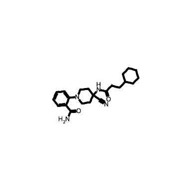 N#CC1(NC(=O)[CH]CC2CCCCC2)CCN(c2ccccc2C(N)=O)CC1